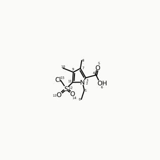 CCn1c(C(=O)O)c(C)c(C)c1S(=O)(=O)Cl